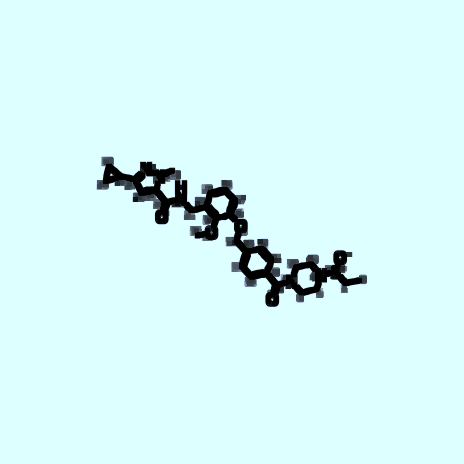 CC[S+]([O-])N1CCN(C(=O)c2ccc(COc3cccc(CNC(=O)c4cc(C5CC5)nn4C)c3OC)cc2)CC1